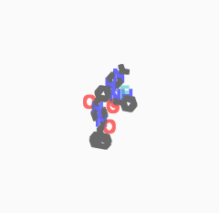 CC(C)N1CCN(c2ccc(C(=O)N3CCN(C(=O)CC45CC6CC(CC(C6)C4)C5)CC3)cc2NC(=O)c2ccccc2F)CC1